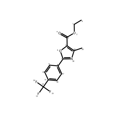 CCOC(=O)c1oc(-c2ccc(C(F)(F)F)cc2)nc1C